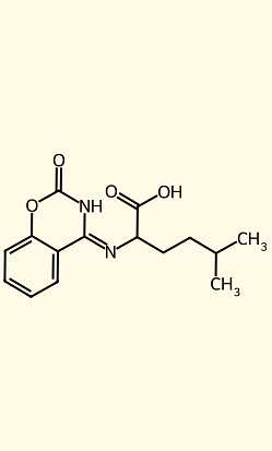 CC(C)CCC(/N=c1\[nH]c(=O)oc2ccccc12)C(=O)O